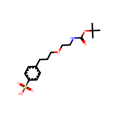 CC(C)(C)OC(=O)NCCOCCCc1ccc(S(=O)(=O)O)cc1